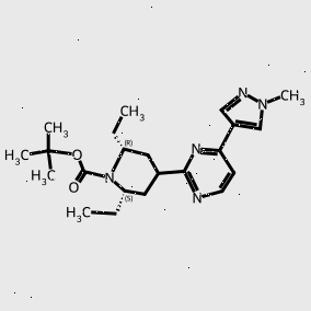 CC[C@@H]1CC(c2nccc(-c3cnn(C)c3)n2)C[C@H](CC)N1C(=O)OC(C)(C)C